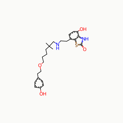 CC(C)(CCCCOCCc1ccc(O)cc1)CNCCc1ccc(O)c2[nH]c(=O)sc12